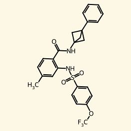 Cc1ccc(C(=O)NC23CC(c4ccccc4)(C2)C3)c(NS(=O)(=O)c2ccc(OC(F)(F)F)cc2)c1